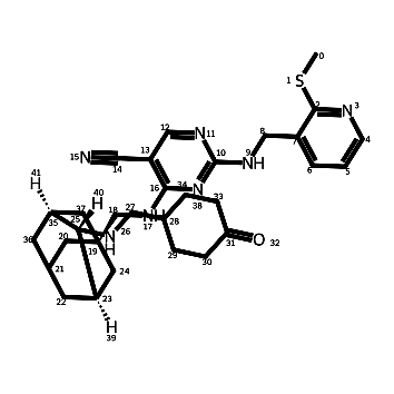 CSc1ncccc1CNc1ncc(C#N)c(NC[C@]23CC4C[C@H](C2)[C@@H](NCC2CCC(=O)CC2)[C@@H](C4)C3)n1